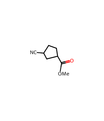 COC(=O)C1CCC(C#N)C1